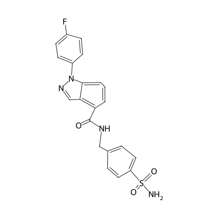 NS(=O)(=O)c1ccc(CNC(=O)c2cccc3c2cnn3-c2ccc(F)cc2)cc1